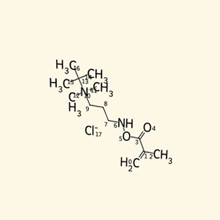 C=C(C)C(=O)ONCCC[N+](C)(C)C(C)(C)C.[Cl-]